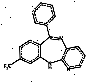 FC(F)(F)c1ccc2c(c1)Nc1ncccc1N=C2c1ccccc1